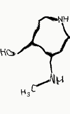 CNC1CNCC1O